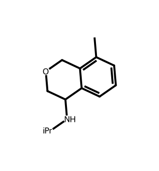 Cc1cccc2c1COCC2NC(C)C